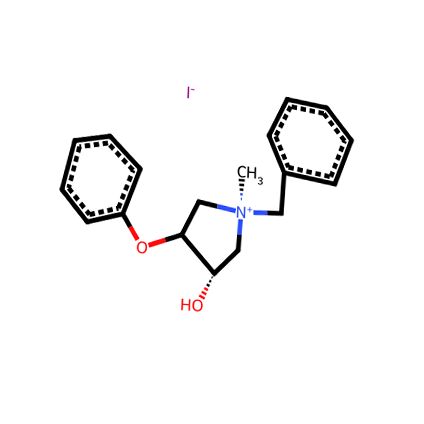 C[N@@+]1(Cc2ccccc2)CC(Oc2ccccc2)[C@@H](O)C1.[I-]